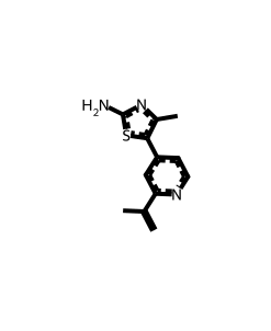 C=C(C)c1cc(-c2sc(N)nc2C)ccn1